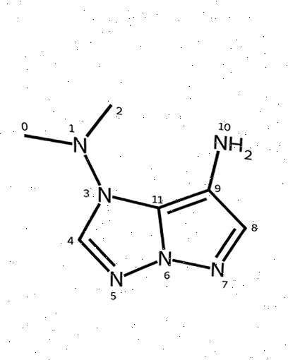 CN(C)n1cnn2ncc(N)c12